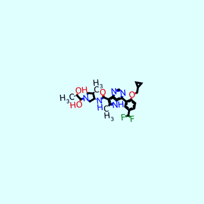 Cc1[nH]c2c(-c3cc(C(F)F)ccc3OCC3CC3)ncnc2c1C(=O)N[C@@H]1CN(C(O)[C@H](C)O)C[C@H]1C